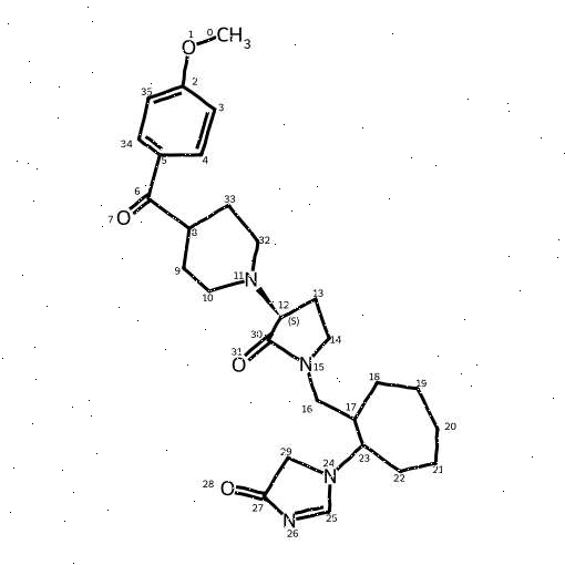 COc1ccc(C(=O)C2CCN([C@H]3CCN(CC4CCCCCC4N4C=NC(=O)C4)C3=O)CC2)cc1